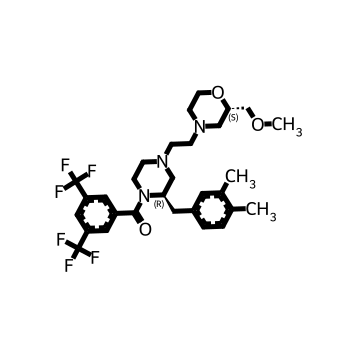 COC[C@@H]1CN(CCN2CCN(C(=O)c3cc(C(F)(F)F)cc(C(F)(F)F)c3)[C@H](Cc3ccc(C)c(C)c3)C2)CCO1